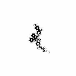 COC(=O)CCC(=O)N1CCC(N(CC(CCCN2CCC(O)(c3ccc(Cl)cc3)CC2)(c2ccccc2)c2ccccc2)C(=O)O)CC1